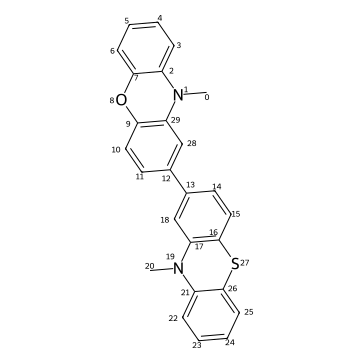 CN1c2ccccc2Oc2ccc(-c3ccc4c(c3)N(C)c3ccccc3S4)cc21